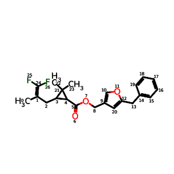 CC(CC1C(C(=O)OCc2coc(Cc3ccccc3)c2)C1(C)C)=C(F)F